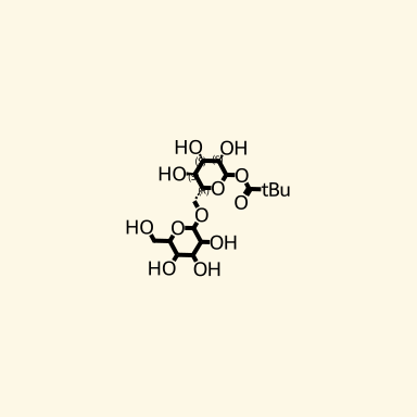 CC(C)(C)C(=O)OC1O[C@H](COC2OC(CO)C(O)C(O)C2O)[C@@H](O)[C@H](O)[C@@H]1O